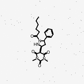 CCCCCC(=O)N1NC(=C2C(=O)N(C)C(=O)N(C)C2=O)CC1c1ccccc1